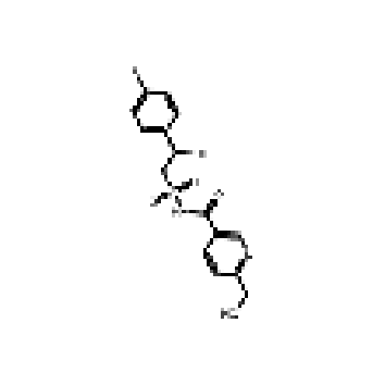 O=C(NS(=O)(=O)CC(O)c1ccc(F)cc1)c1ccc(CO)nc1